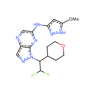 COc1cc(Nc2cnc3cnn(C(C(F)F)C4CCOCC4)c3n2)n[nH]1